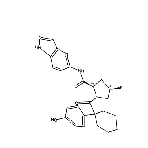 O=C(Nc1ccc2[nH]ncc2n1)[C@H]1C[C@@H](F)CN1C(=O)C1(c2ccc(O)cc2)CCCCC1